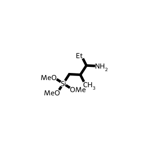 CCC(N)C(C)C[Si](OC)(OC)OC